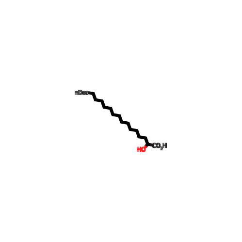 CCCCCCCCCCCCCCCCCCCCCCCC(O)C(=O)O